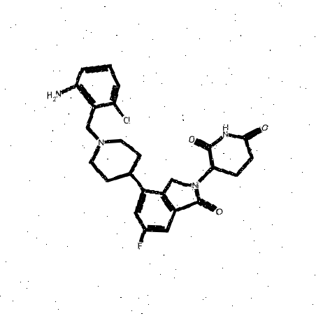 Nc1cccc(Cl)c1CN1CCC(c2cc(F)cc3c2CN(C2CCC(=O)NC2=O)C3=O)CC1